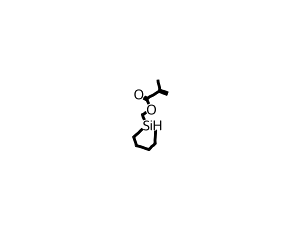 C=C(C)C(=O)OC[SiH]1CCCCC1